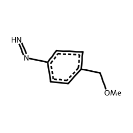 COCc1ccc(N=N)cc1